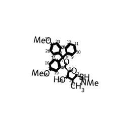 CNB[C@@H]1O[C@H](COC(c2ccccc2)(c2ccc(OC)cc2)c2ccc(OC)cc2)C(O)[C@@H]1C